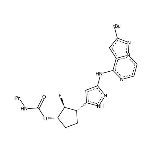 CC(C)NC(=O)O[C@H]1CC[C@@H](c2cc(Nc3nccn4nc(C(C)(C)C)cc34)n[nH]2)[C@@H]1F